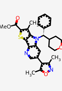 COC(=O)c1sc2c3ncc(-c4c(C)noc4C)cc3n([C@H](c3ccccc3)C3CCOCC3)c2c1C